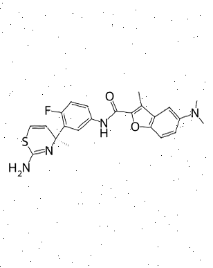 Cc1c(C(=O)Nc2ccc(F)c([C@]3(C)C=CSC(N)=N3)c2)oc2ccc(N(C)C)cc12